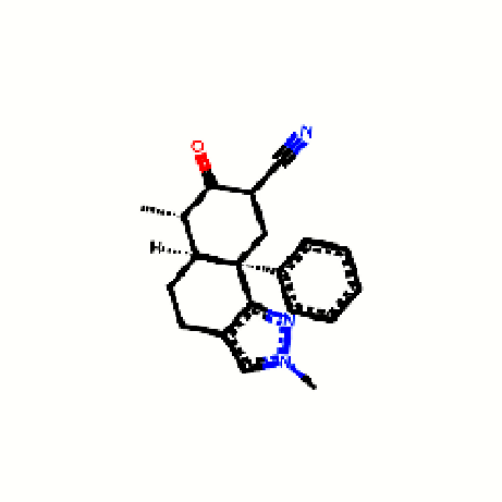 C[C@@H]1C(=O)C(C#N)C[C@@]2(c3ccccc3)c3nn(C)cc3CC[C@@H]12